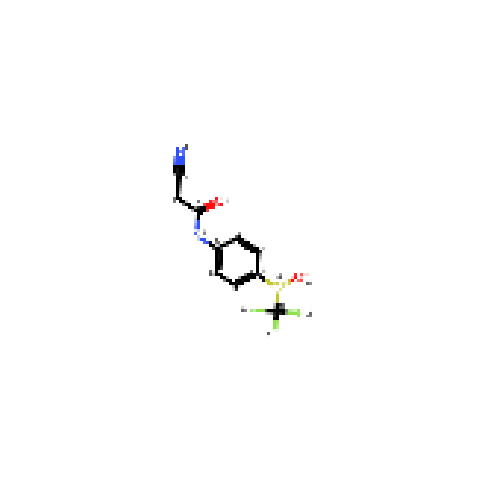 N#CCC(=O)Nc1ccc([S+]([O-])C(F)(F)F)cc1